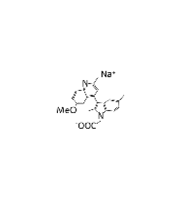 COc1ccc2nc(C)cc(-c3c(C)n(CC(=O)[O-])c4ccc(C)cc34)c2c1.[Na+]